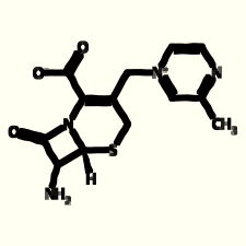 Cc1c[n+](CC2=C(C(=O)[O-])N3C(=O)C(N)[C@H]3SC2)ccn1